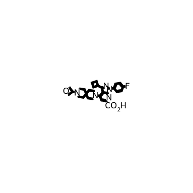 O=C(O)c1cc(N2CCC3(CC2)CCN(C2COC2)CC3)c2c(C3CCC3)nn(-c3ccc(F)cc3)c2n1